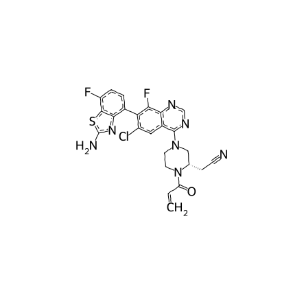 C=CC(=O)N1CCN(c2ncnc3c(F)c(-c4ccc(F)c5sc(N)nc45)c(Cl)cc23)C[C@@H]1CC#N